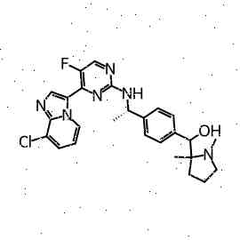 C[C@H](Nc1ncc(F)c(-c2cnc3c(Cl)cccn23)n1)c1ccc(C(O)C2(C)CCCN2C)cc1